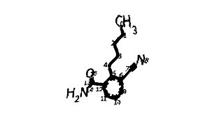 CCCCCc1c(C#N)cccc1C(N)=O